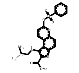 COC(=O)c1sc2ccc3nc(OS(=O)(=O)c4ccccc4)ccc3c2c1NC[C@H](C)N